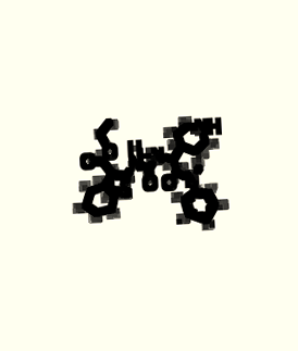 CCOC(=O)c1c(NC(=O)NC(C(=O)N(C)c2ccccc2)C2CCNCC2)sc2c1CCCC2